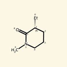 CC[C@@H]1CCCN(C)C1=O